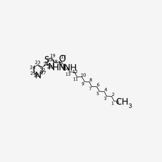 CCCCCCCCCCCCCCNNC(=O)c1csc(-c2cccnc2)n1